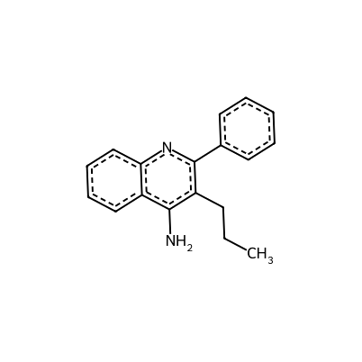 CCCc1c(-c2ccccc2)nc2ccccc2c1N